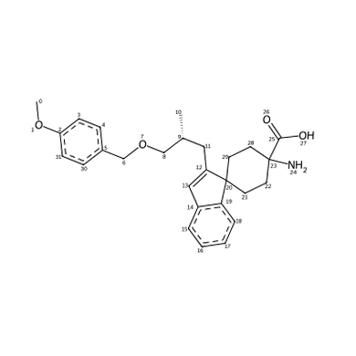 COc1ccc(COC[C@H](C)CC2=Cc3ccccc3C23CCC(N)(C(=O)O)CC3)cc1